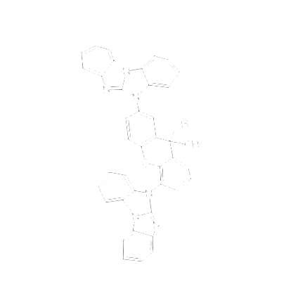 CC1(C)c2cc(-n3c4ccccc4n4c5ccccc5nc34)ccc2Oc2c(-n3c4ccccc4n4c5ccccc5nc34)cccc21